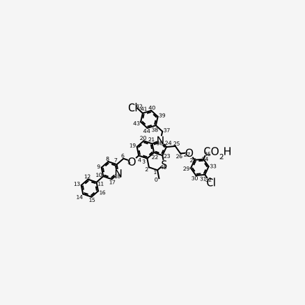 CC1Cc2c(OCc3ccc(-c4ccccc4)cn3)ccc3c2c(c(CCOc2ccc(Cl)cc2C(=O)O)n3Cc2ccc(Cl)cc2)S1